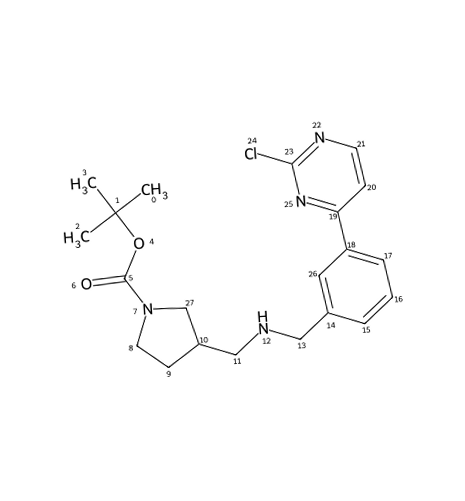 CC(C)(C)OC(=O)N1CCC(CNCc2cccc(-c3ccnc(Cl)n3)c2)C1